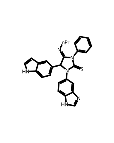 CCCN=C1C(c2ccc3[nH]ccc3c2)N(c2ccc3[nH]cnc3c2)C(=S)N1c1ccccc1